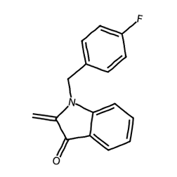 C=C1C(=O)c2ccccc2N1Cc1ccc(F)cc1